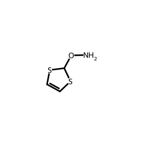 NOC1SC=CS1